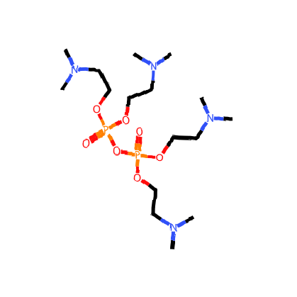 CN(C)CCOP(=O)(OCCN(C)C)OP(=O)(OCCN(C)C)OCCN(C)C